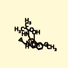 COc1ccc2c(c1)[C@]13CCN(CC4CC4)[C@H](C2)[C@]1(O)C[C@@H](NC(=O)C(C)C)C(O)C3